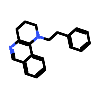 c1ccc(CCN2CCCc3ncc4ccccc4c32)cc1